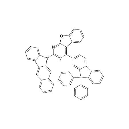 c1ccc(C2(c3ccccc3)c3ccccc3-c3ccc(-c4nc(-n5c6ccccc6c6cc7ccccc7cc65)nc5oc6ccccc6c45)cc32)cc1